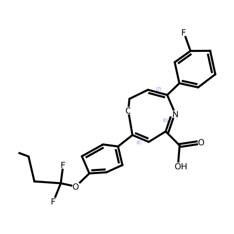 CCCC(F)(F)Oc1ccc(/C2=C/C(C(=O)O)=N\C(c3cccc(F)c3)=C/CC2)cc1